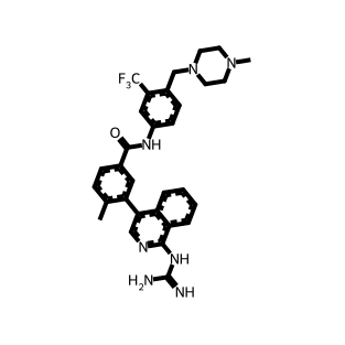 Cc1ccc(C(=O)Nc2ccc(CN3CCN(C)CC3)c(C(F)(F)F)c2)cc1-c1cnc(NC(=N)N)c2ccccc12